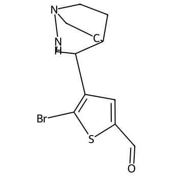 O=Cc1cc(C2CNN3CCC2CC3)c(Br)s1